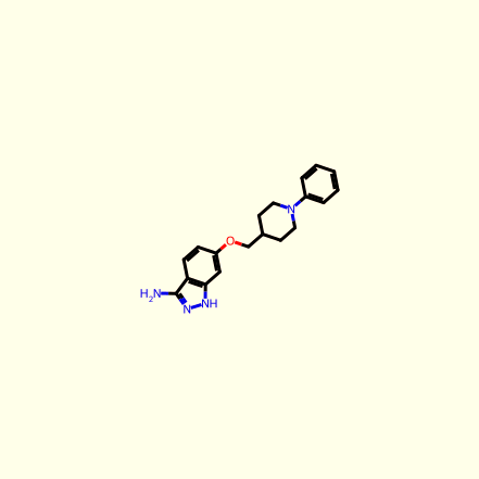 Nc1n[nH]c2cc(OCC3CCN(c4ccccc4)CC3)ccc12